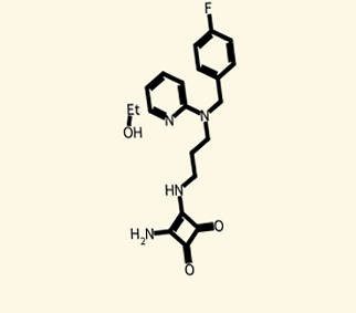 CCO.Nc1c(NCCCN(Cc2ccc(F)cc2)c2ccccn2)c(=O)c1=O